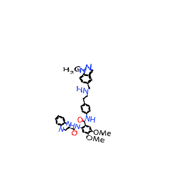 COc1cc(NC(=O)c2cnc3ccccc3n2)c(C(=O)Nc2ccc(CCNCc3ccc4c(cnn4C)c3)cc2)cc1OC